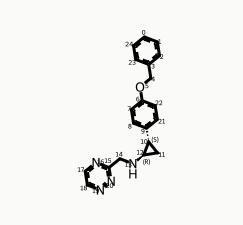 c1ccc(COc2ccc([C@@H]3C[C@H]3NCc3nccnn3)cc2)cc1